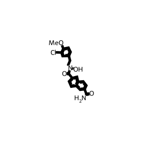 COc1ccc(CCN(O)C(=O)c2ccc3cc(C(N)=O)ccc3c2)cc1Cl